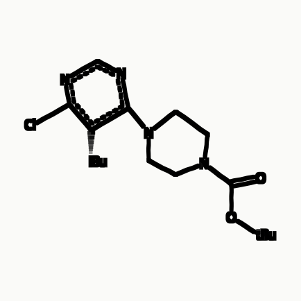 CC[C@@H](C)c1c(Cl)ncnc1N1CCN(C(=O)OC(C)(C)C)CC1